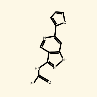 CC(C)C(=O)Nc1n[nH]c2cc(-c3ccco3)ncc12